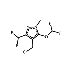 Cn1nc(C(F)F)c(CCl)c1OC(F)F